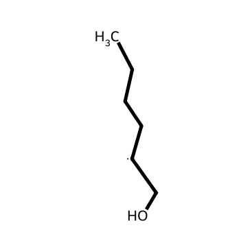 CCCC[CH]CO